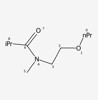 CCCOCCN(C)C(=O)C(C)C